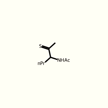 CCCC(NC(C)=O)C(C)=S